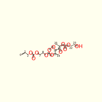 C=CCOC(=O)OCCOC(=O)OC1COC2C(OC(=O)OCCO)COC12